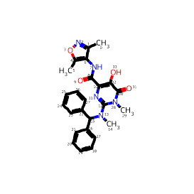 Cc1noc(C)c1NC(=O)c1nc(N(C)C(c2ccccc2)c2ccccc2)n(C)c(=O)c1O